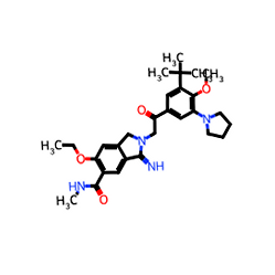 CCOc1cc2c(cc1C(=O)NC)C(=N)N(CC(=O)c1cc(N3CCCC3)c(OC)c(C(C)(C)C)c1)C2